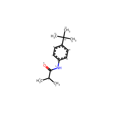 CC(C)C(=O)Nc1ccc(C(C)(C)C)cc1